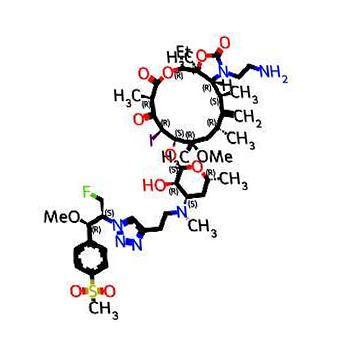 C=C1[C@H](C)C[C@@](C)(OC)[C@H](O[C@@H]2O[C@H](C)C[C@H](N(C)CCc3cn([C@H](CF)[C@H](OC)c4ccc(S(C)(=O)=O)cc4)nn3)[C@H]2O)[C@@H](I)C(=O)[C@@H](C)C(=O)O[C@H](CC)[C@@]2(C)OC(=O)N(CCN)[C@@H]2[C@H]1C